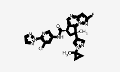 CC1(n2cc([C@@]3(C)C[C@@H](C(=O)Nc4cnc(-n5nccn5)c(Cl)c4)c4cnc5cc(F)nn5c43)cn2)CC1